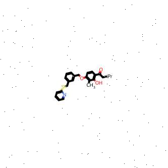 Cc1c(OCc2cccc(CSc3ccccn3)c2)ccc(C(=O)CC(C)C)c1O